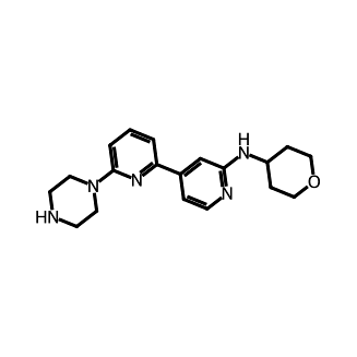 c1cc(-c2ccnc(NC3CCOCC3)c2)nc(N2CCNCC2)c1